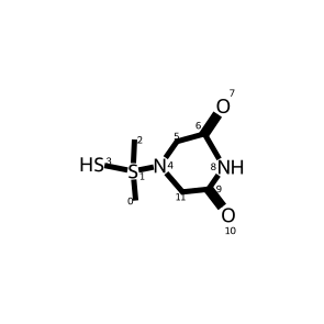 CS(C)(S)N1CC(=O)NC(=O)C1